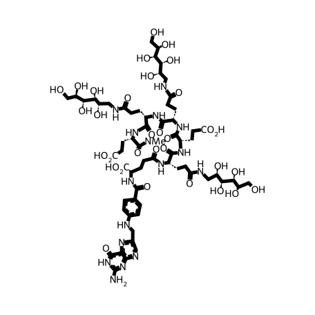 CNC(=O)[C@H](CCC(=O)O)NC(=O)[C@H](CCC(=O)NC[C@H](O)[C@@H](O)[C@H](O)[C@H](O)CO)NC(=O)[C@H](CCC(=O)NC[C@H](O)[C@@H](O)[C@H](O)[C@H](O)CO)NC(=O)[C@H](CCC(=O)O)NC(=O)[C@H](CCC(=O)NC[C@H](O)[C@@H](O)[C@H](O)[C@H](O)CO)NC(=O)CC[C@H](NC(=O)c1ccc(NCc2cnc3nc(N)[nH]c(=O)c3n2)cc1)C(=O)O